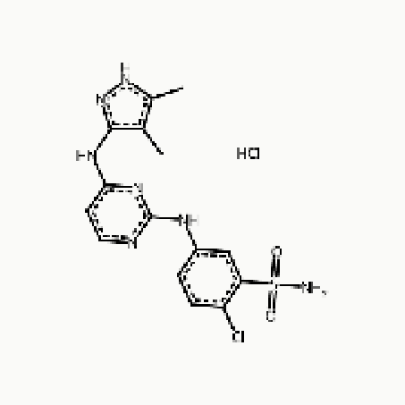 Cc1[nH]nc(Nc2ccnc(Nc3ccc(Cl)c(S(N)(=O)=O)c3)n2)c1C.Cl